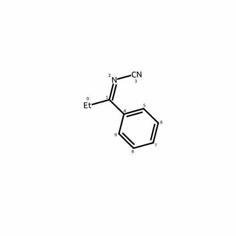 CC/C(=N/C#N)c1ccccc1